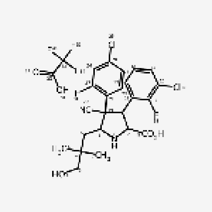 CC(C)(CO)CC1NC(C(=O)O)C(c2cccc(Cl)c2F)C1(C#N)c1ccc(Cl)cc1F.O=C(O)C(F)(F)F